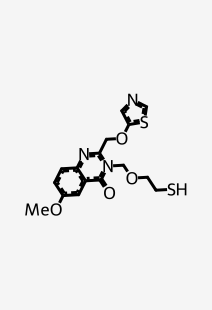 COc1ccc2nc(COc3cncs3)n(COCCS)c(=O)c2c1